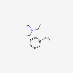 Bc1ccccc1.CCN(CC)CC